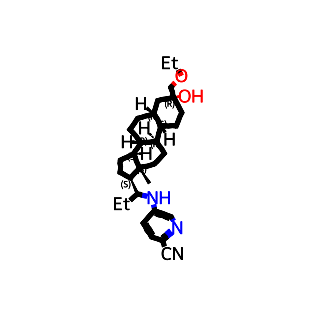 CCOC[C@@]1(O)CC[C@H]2[C@H](CC[C@@H]3[C@@H]2CC[C@]2(C)[C@@H](C(CC)Nc4ccc(C#N)nc4)CC[C@@H]32)C1